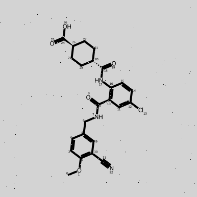 COc1ccc(CNC(=O)c2cc(Cl)ccc2NC(=O)[C@H]2CC[C@H](C(=O)O)CC2)cc1C#N